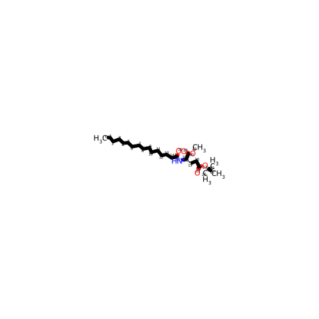 CCCCCCCCCCCCCCCC(=O)N[C@@H](CCC(=O)OC(C)(C)C)C(=O)OC